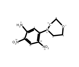 Nc1cc(N2CCOCC2)c([N+](=O)[O-])cc1[N+](=O)[O-]